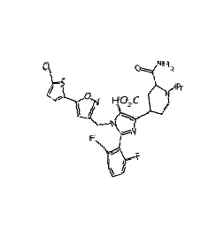 CC(C)N1CCC(c2nc(-c3c(F)cccc3F)n(Cc3cc(-c4ccc(Cl)s4)on3)c2C(=O)O)CC1C(N)=O